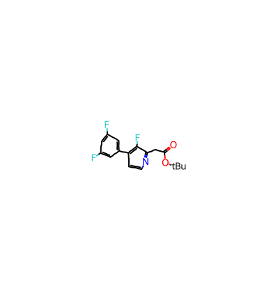 CC(C)(C)OC(=O)Cc1nccc(-c2cc(F)cc(F)c2)c1F